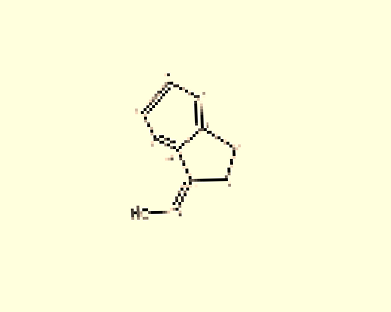 N#C/C=C1/CCc2ccccc21